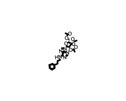 CC(=O)OC[C@H]1O[C@@H](n2cnc3c(NCCCc4ccccc4)ncnc32)[C@H](OC(C)=O)[C@H]1OC(C)=O